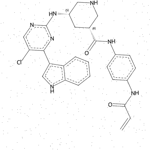 C=CC(=O)Nc1ccc(NC(=O)[C@H]2CNC[C@@H](Nc3ncc(Cl)c(-c4c[nH]c5ccccc45)n3)C2)cc1